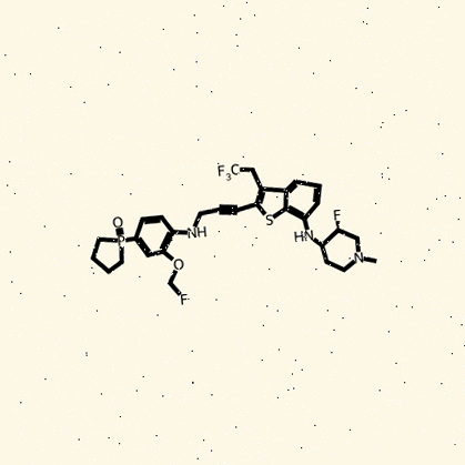 CN1CCC(Nc2cccc3c(CC(F)(F)F)c(C#CCNc4ccc(P5(=O)CCCC5)cc4OCF)sc23)[C@@H](F)C1